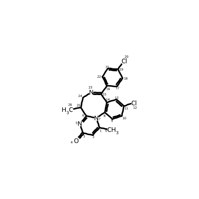 Cc1cc(=O)nc2n1-c1ccc(Cl)cc1C(c1ccc(Cl)cc1)=NCC2C